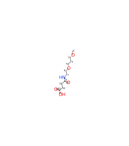 COCCCOCCNC(=O)CCC(=O)O